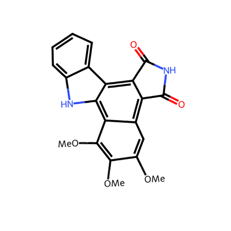 COc1cc2c3c(c4c5ccccc5[nH]c4c2c(OC)c1OC)C(=O)NC3=O